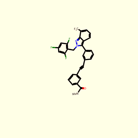 CNC(=O)c1cccc(C#Cc2cccc(-c3c4cccc(C(F)(F)F)c4nn3Cc3c(F)cc(F)cc3F)c2)c1